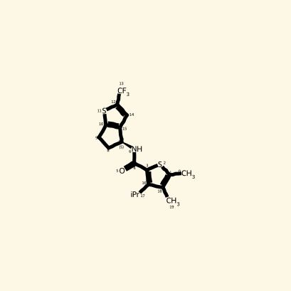 Cc1sc(C(=O)N[C@H]2CCc3sc(C(F)(F)F)cc32)c(C(C)C)c1C